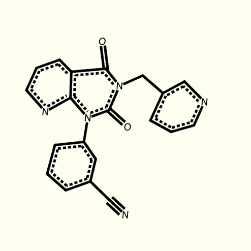 N#Cc1cccc(-n2c(=O)n(Cc3cccnc3)c(=O)c3cccnc32)c1